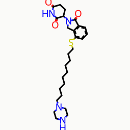 O=C1CCC(N2Cc3c(SCCCCCCCCCCN4CCNCC4)cccc3C2=O)C(=O)N1